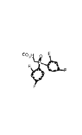 O=C(O)CP(=O)(c1ccc(F)cc1F)c1ccc(F)cc1F